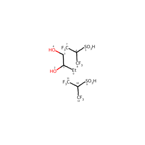 CCC(O)CO.O=S(=O)(O)C(C(F)(F)F)C(F)(F)F.O=S(=O)(O)C(C(F)(F)F)C(F)(F)F